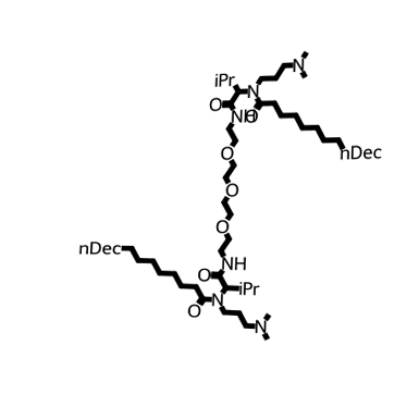 CCCCCCCCCCCCCCCCCC(=O)N(CCCN(C)C)C(C(=O)NCCOCCOCCOCCNC(=O)C(C(C)C)N(CCCN(C)C)C(=O)CCCCCCCCCCCCCCCCC)C(C)C